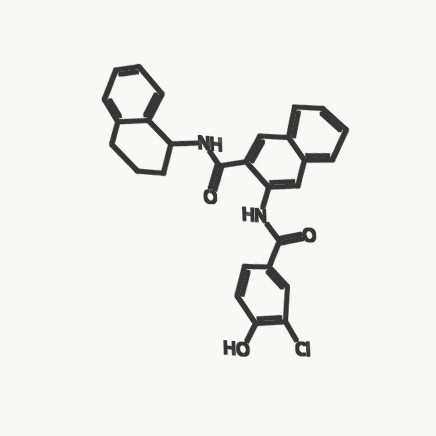 O=C(Nc1cc2ccccc2cc1C(=O)NC1CCCc2ccccc21)c1ccc(O)c(Cl)c1